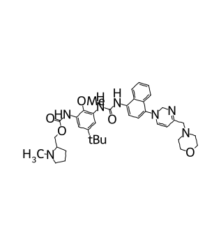 COc1c(NC(=O)Nc2ccc(N3C=CC(CN4CCOCC4)=NC3)c3ccccc23)cc(C(C)(C)C)cc1NC(=O)OCC1CCCN1C